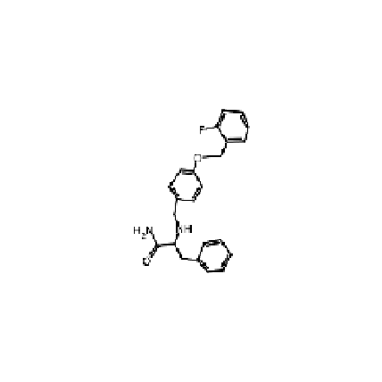 NC(=O)[C@H](Cc1ccccc1)NCc1ccc(OCc2ccccc2F)cc1